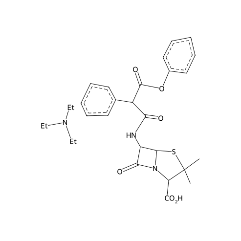 CC1(C)SC2C(NC(=O)C(C(=O)Oc3ccccc3)c3ccccc3)C(=O)N2C1C(=O)O.CCN(CC)CC